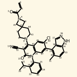 C=CC(=O)N1CC2(CCN(c3c(C#N)c(=O)n(C4=C(C(C)C)CC=C=C4)c4cc(-c5c(C)ccc6[nH]ncc56)c(Cl)cc34)CC2)C1